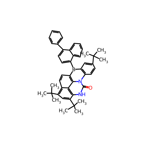 CC(C)(C)c1ccc2c(c1)B(c1ccc(-c3ccccc3)c3ccccc13)c1ccc3c(C(C)(C)C)cc(C(C)(C)C)c4c3c1N2C(=O)N4